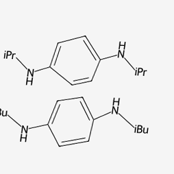 CC(C)Nc1ccc(NC(C)C)cc1.CCC(C)Nc1ccc(NC(C)CC)cc1